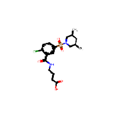 CC1CC(C)CN(S(=O)(=O)c2ccc(Cl)c(C(=O)NCCCC(=O)O)c2)C1